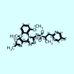 COc1cccc(OC)c1-n1c(NS(=O)(=O)C(C)Cc2ncc(F)cn2)nnc1-c1coc(C)n1